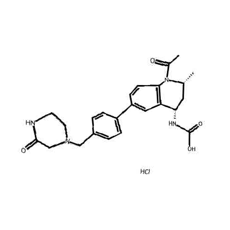 CC(=O)N1c2ccc(-c3ccc(CN4CCNC(=O)C4)cc3)cc2[C@@H](NC(=O)O)C[C@H]1C.Cl